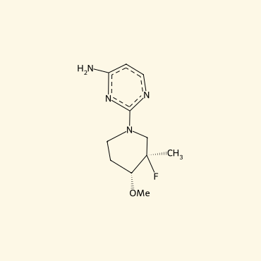 CO[C@@H]1CCN(c2nccc(N)n2)C[C@@]1(C)F